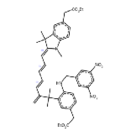 C=C(/C=C/C=C/C=C1\N(C)c2ccc(CC(=O)OCC)cc2C1(C)C)C(C)(C)c1cc(CC(=O)OCC)ccc1NCc1cc([N+](=O)[O-])cc([N+](=O)[O-])c1